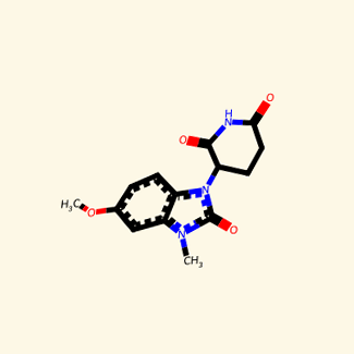 COc1ccc2c(c1)n(C)c(=O)n2C1CCC(=O)NC1=O